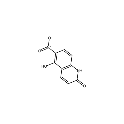 O=c1ccc2c(O)c([N+](=O)[O-])ccc2[nH]1